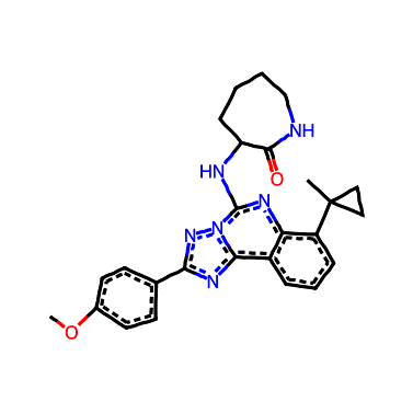 COc1ccc(-c2nc3c4cccc(C5(C)CC5)c4nc(NC4CCCCNC4=O)n3n2)cc1